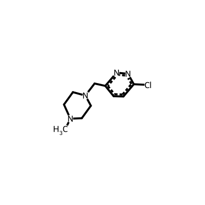 CN1CCN(Cc2ccc(Cl)nn2)CC1